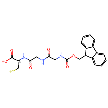 O=C(CNC(=O)OCC1c2ccccc2-c2ccccc21)NCC(=O)N[C@@H](CS)C(=O)O